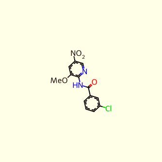 COc1cc([N+](=O)[O-])cnc1NC(=O)c1cccc(Cl)c1